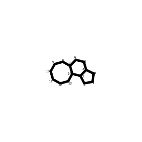 [CH]1CCC2C1CCC1CCCCCCC12